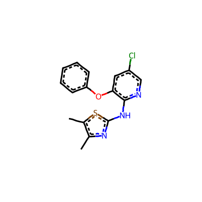 Cc1nc(Nc2ncc(Cl)cc2Oc2ccccc2)sc1C